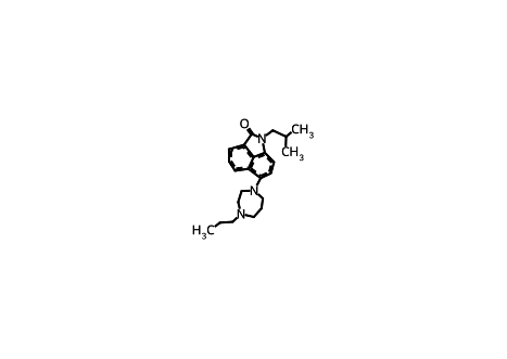 CCCN1CCCN(c2ccc3c4c(cccc24)C(=O)N3CC(C)C)CC1